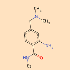 CCNC(=O)c1ccc(CN(C)C)cc1N